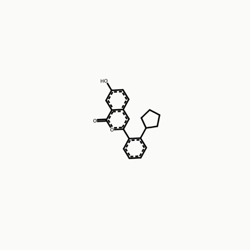 O=c1oc(-c2ccccc2C2CCCC2)cc2ccc(O)cc12